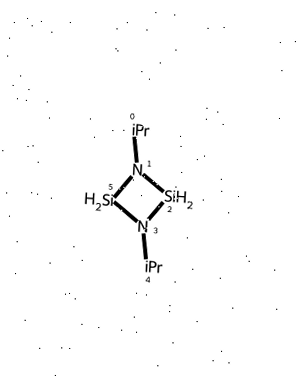 CC(C)N1[SiH2]N(C(C)C)[SiH2]1